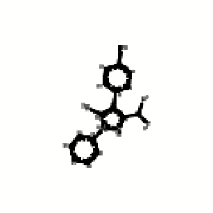 Fc1ccc(-c2c(C(F)F)nn(-c3ccccc3)c2F)cc1